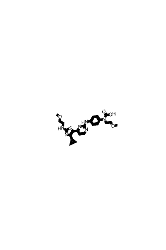 COCCNc1nc(C2CC2)c(-c2ccnc(Nc3ccc(N(CCOC)C(=O)O)cc3)n2)s1